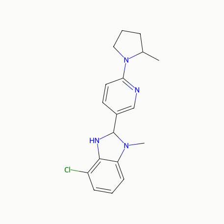 CC1CCCN1c1ccc(C2Nc3c(Cl)cccc3N2C)cn1